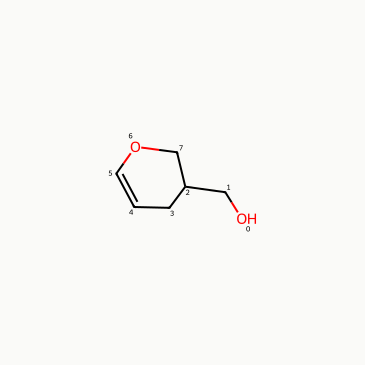 OCC1CC=COC1